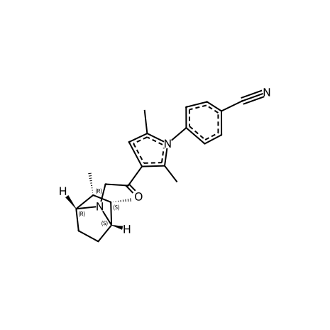 Cc1cc(C(=O)CN2[C@@H]3CC[C@H]2[C@@H](C)[C@H]3C)c(C)n1-c1ccc(C#N)cc1